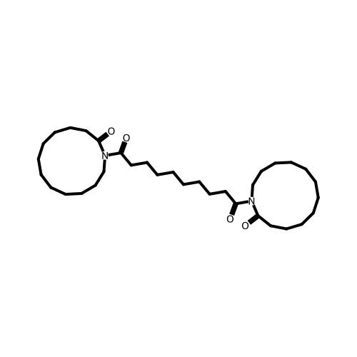 O=C1CCCCCCCCCCCN1C(=O)CCCCCCCCC(=O)N1CCCCCCCCCCCC1=O